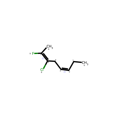 CC/C=C\C/C(Cl)=C(\C)F